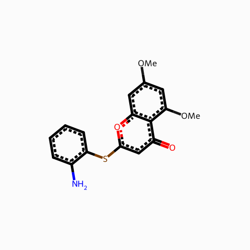 COc1cc(OC)c2c(=O)cc(Sc3ccccc3N)oc2c1